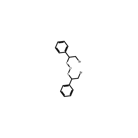 BrCC(SOSC(CBr)c1ccccc1)c1ccccc1